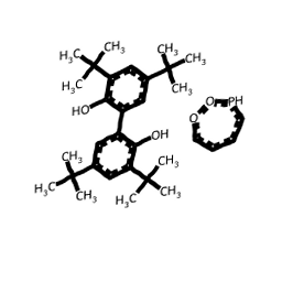 CC(C)(C)c1cc(-c2cc(C(C)(C)C)cc(C(C)(C)C)c2O)c(O)c(C(C)(C)C)c1.c1cc[pH]ooc1